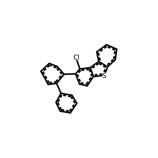 Clc1c(-c2ccccc2-c2ccccc2)ccc2sc3ccccc3c12